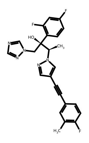 Cc1cc(C#Cc2cnn([C@H](C)[C@](O)(Cn3cncn3)c3ccc(F)cc3F)c2)ccc1F